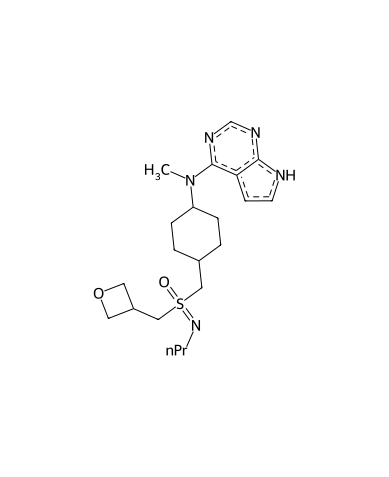 CCCN=S(=O)(CC1CCC(N(C)c2ncnc3[nH]ccc23)CC1)CC1COC1